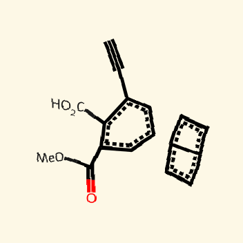 C#Cc1cccc(C(=O)OC)c1C(=O)O.c1cc2ccc1-2